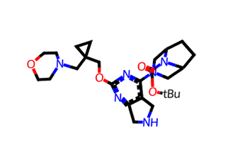 CC(C)(C)OC(=O)N1C2CCC1CN(c1nc(OCC3(CN4CCOCC4)CC3)nc3c1CNC3)C2